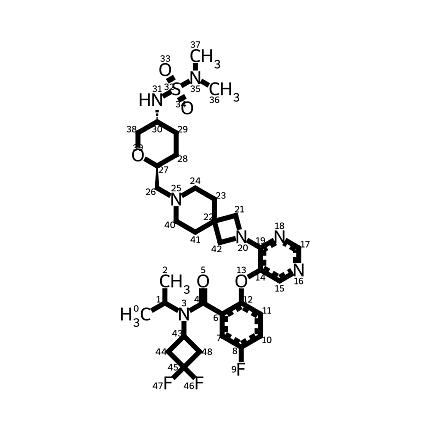 CC(C)N(C(=O)c1cc(F)ccc1Oc1cncnc1N1CC2(CCN(C[C@@H]3CC[C@@H](NS(=O)(=O)N(C)C)CO3)CC2)C1)C1CC(F)(F)C1